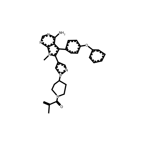 C=C(C)C(=O)N1CCC(n2cc(-c3c(-c4ccc(Oc5ccccc5)cc4)c4c(N)ncnc4n3C)cn2)CC1